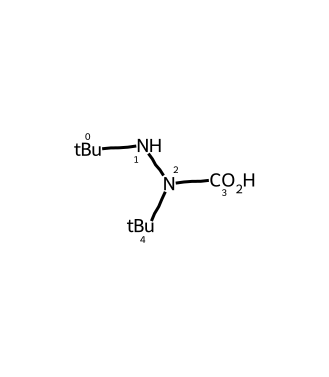 CC(C)(C)NN(C(=O)O)C(C)(C)C